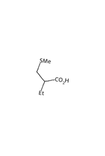 CCC(CSC)C(=O)O